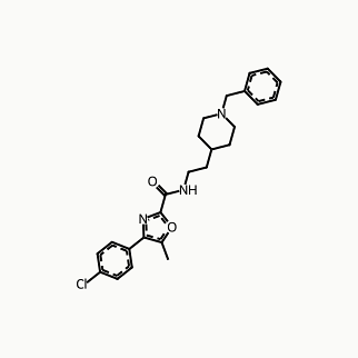 Cc1oc(C(=O)NCCC2CCN(Cc3ccccc3)CC2)nc1-c1ccc(Cl)cc1